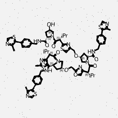 Cc1nc([C@H](C(=O)N2C[C@H](OCc3nc([C@H](C(=O)N4C[C@H](OCc5csc([C@H](C(=O)N6C[C@H](O)C[C@H]6C(=O)NCc6ccc(-c7scnc7C)cc6)C(C)C)n5)C[C@H]4C(=O)NCc4ccc(-c5scnc5C)cc4)C(C)C)co3)C[C@H]2C(=O)NCc2ccc(-c3scnc3C)cc2)C(C)C)cs1